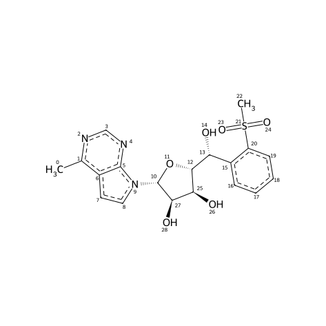 Cc1ncnc2c1ccn2[C@@H]1O[C@H]([C@H](O)c2ccccc2S(C)(=O)=O)[C@@H](O)[C@H]1O